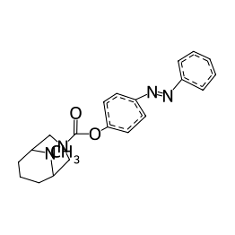 CN1C2CCCC1CN(C(=O)Oc1ccc(N=Nc3ccccc3)cc1)C2